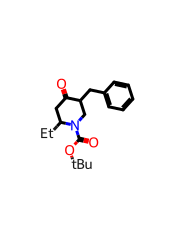 CCC1CC(=O)C(Cc2ccccc2)CN1C(=O)OC(C)(C)C